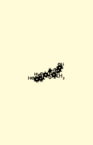 Cc1ccc(C(=O)N(c2ccc(C)c(-n3ccc4ccc(O)cc4c3=O)c2)C2CCC2)cc1-n1ccc2ccc(O)cc2c1=O